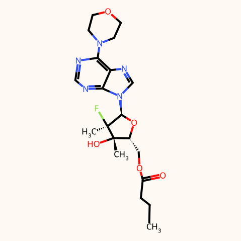 CCCC(=O)OC[C@H]1O[C@H](n2cnc3c(N4CCOCC4)ncnc32)[C@](C)(F)[C@@]1(C)O